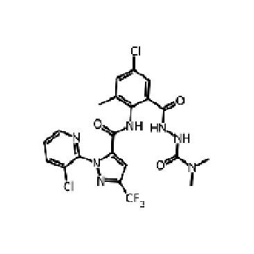 Cc1cc(Cl)cc(C(=O)NNC(=O)N(C)C)c1NC(=O)c1cc(C(F)(F)F)nn1-c1ncccc1Cl